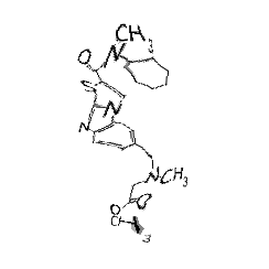 COC(=O)CN(C)Cc1ccc2nc3sc(C(=O)N(C)C4CCCCC4)cn3c2c1